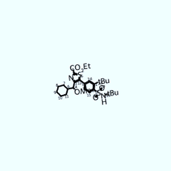 CCOC(=O)c1nc(C(OC)C2CCCCC2)c(-c2ccc(S(=O)(=O)NC(C)(C)C)c(C(C)(C)C)c2)s1